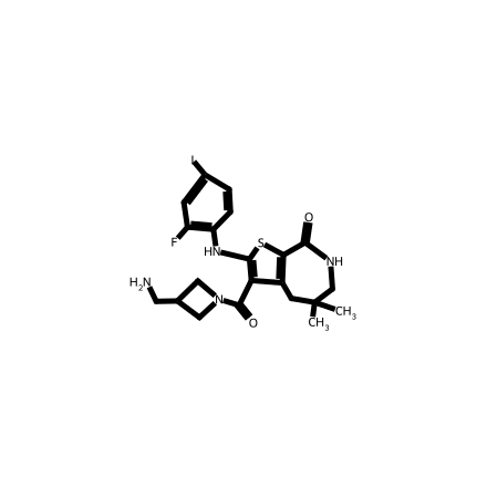 CC1(C)CNC(=O)c2sc(Nc3ccc(I)cc3F)c(C(=O)N3CC(CN)C3)c2C1